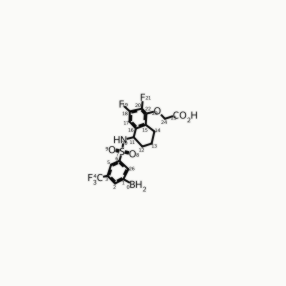 Bc1cc(C(F)(F)F)cc(S(=O)(=O)NC2CCCc3c2cc(F)c(F)c3OCC(=O)O)c1